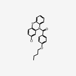 CCCCOc1ccc(C(=O)N2c3ccccc3Sc3ccc(Cl)cc32)cc1